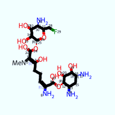 CN/C(=C(/O)CC/C=C(/N)[C@H](O)O[C@@H]1C(N)C[C@@H](N)C(O)C1O)C(O)O[C@H]1OC(CF)[C@@H](N)C(O)C1O